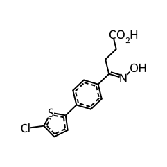 O=C(O)CC/C(=N\O)c1ccc(-c2ccc(Cl)s2)cc1